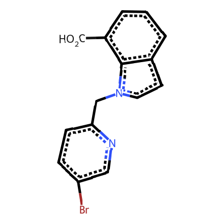 O=C(O)c1cccc2ccn(Cc3ccc(Br)cn3)c12